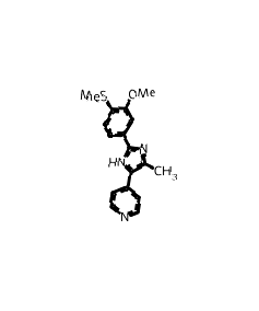 COc1cc(-c2nc(C)c(-c3ccncc3)[nH]2)ccc1SC